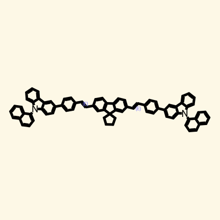 C(=C\c1ccc2c(c1)C1(CCCC1)c1cc(/C=C/c3ccc(-c4ccc5c(c4)c4ccccc4n5-c4cccc5ccccc45)cc3)ccc1-2)/c1ccc(-c2ccc3c(c2)c2ccccc2n3-c2cccc3ccccc23)cc1